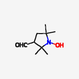 CC1(C)CC(C=O)C(C)(C)N1O